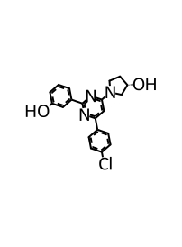 Oc1cccc(-c2nc(-c3ccc(Cl)cc3)cc(N3CC[C@H](O)C3)n2)c1